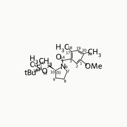 COc1cc(C(=O)N2CCC[C@H]2CO[Si](C)(C)C(C)(C)C)c(C)cc1C